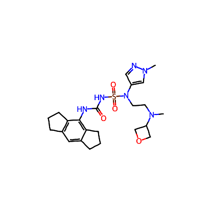 CN(CCN(c1cnn(C)c1)S(=O)(=O)NC(=O)Nc1c2c(cc3c1CCC3)CCC2)C1COC1